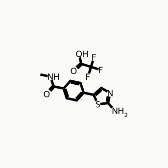 CNC(=O)c1ccc(-c2cnc(N)s2)cc1.O=C(O)C(F)(F)F